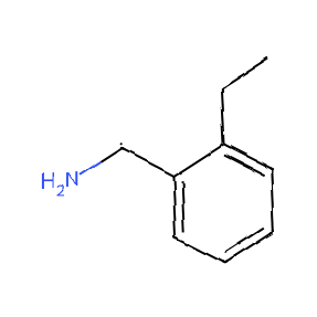 CCc1ccccc1[CH]N